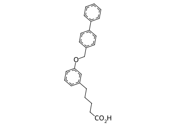 O=C(O)CCCCc1cccc(OCc2ccc(-c3ccccc3)cc2)c1